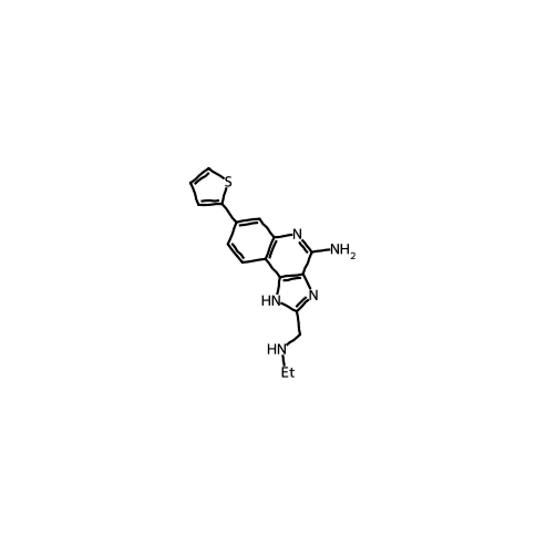 CCNCc1nc2c(N)nc3cc(-c4cccs4)ccc3c2[nH]1